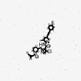 Cc1cc(C#Cc2ccc(F)cc2)cnc1NC(=O)c1c(Cl)cnn1CC1CCCN(C(=O)C2CC2C)C1